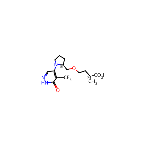 C[C@@H](CCOC[C@@H]1CCCN1c1cn[nH]c(=O)c1C(F)(F)F)C(=O)O